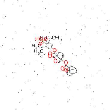 CC(C)c1cc(OC(=O)C23CC4CC2C(OC3=O)C4OC(=O)C23CC4CC(C2)C(=O)C(C4)C3)cc(C(C)C)c1S(=O)(=O)O